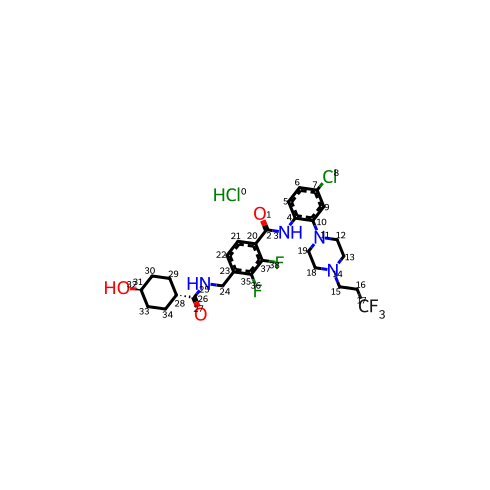 Cl.O=C(Nc1ccc(Cl)cc1N1CCN(CCC(F)(F)F)CC1)c1ccc(CNC(=O)[C@H]2CC[C@H](O)CC2)c(F)c1F